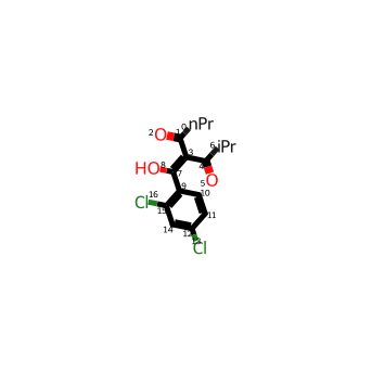 CCCC(=O)C(C(=O)C(C)C)=C(O)c1ccc(Cl)cc1Cl